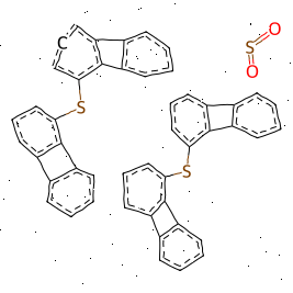 O=S=O.c1ccc2c(c1)-c1cccc(Sc3cccc4c3-c3ccccc3-4)c1-2.c1ccc2c(c1)-c1cccc(Sc3cccc4c3-c3ccccc3-4)c1-2